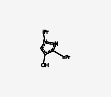 CCCc1nn(C(C)C)cc1O